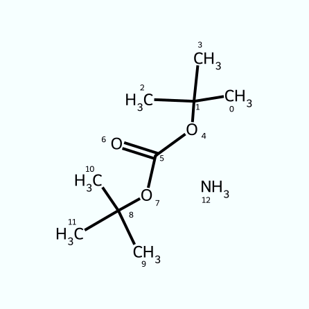 CC(C)(C)OC(=O)OC(C)(C)C.N